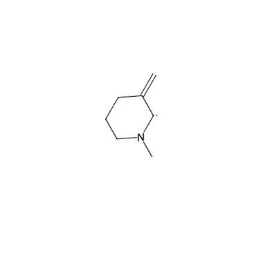 C=C1[CH]N(C)CCC1